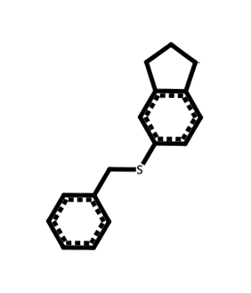 [CH]1CCc2cc(SCc3ccccc3)ccc21